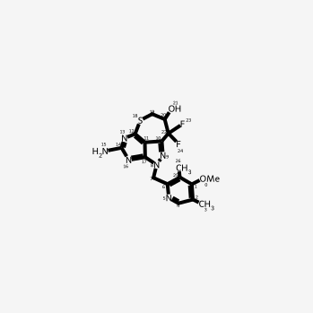 COc1c(C)cnc(Cn2nc3c4c(nc(N)nc42)SCC(O)C3(F)F)c1C